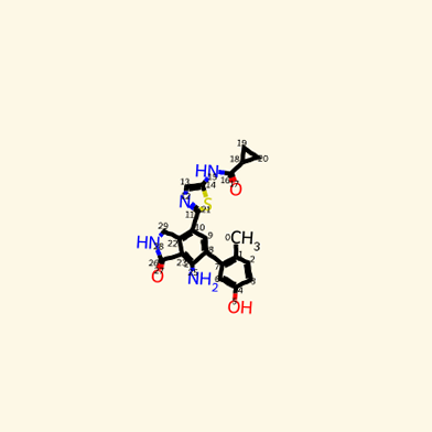 Cc1ccc(O)cc1-c1cc(-c2ncc(NC(=O)C3CC3)s2)c2c(c1N)C(=O)NC2